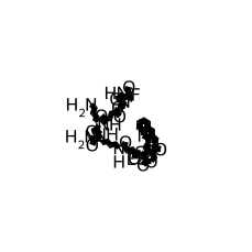 CC[C@]1(OC(=O)CCC(=O)NCCCC[C@H](NC(=O)[C@H](CCCCN)NC(=O)CCC(=O)OCn2cc(F)c(=O)[nH]c2=O)C(N)=O)C(=O)OCc2c1cc1n(c2=O)Cc2cc3ccccc3nc2-1